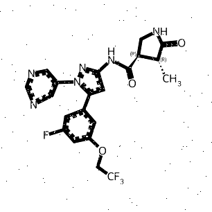 C[C@H]1C(=O)NC[C@@H]1C(=O)Nc1cc(-c2cc(F)cc(OCC(F)(F)F)c2)n(-c2cncnc2)n1